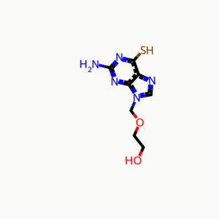 Nc1nc(S)c2ncn(COCCO)c2n1